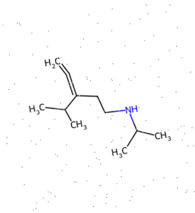 C=C=C(CCNC(C)C)C(C)C